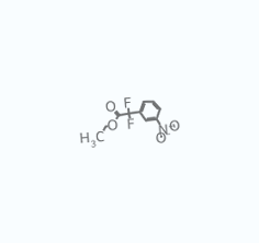 CCOC(=O)C(F)(F)c1cccc([N+](=O)[O-])c1